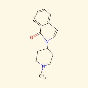 CN1CCC(n2ccc3ccccc3c2=O)CC1